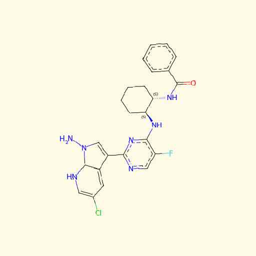 NN1C=C(c2ncc(F)c(N[C@H]3CCCC[C@@H]3NC(=O)c3ccccc3)n2)C2=CC(Cl)=CNC21